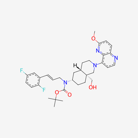 COc1ccc2nccc(N3CC[C@H]4C[C@@H](N(C/C=C/c5cc(F)ccc5F)C(=O)OC(C)(C)C)CC[C@]4(CO)C3)c2n1